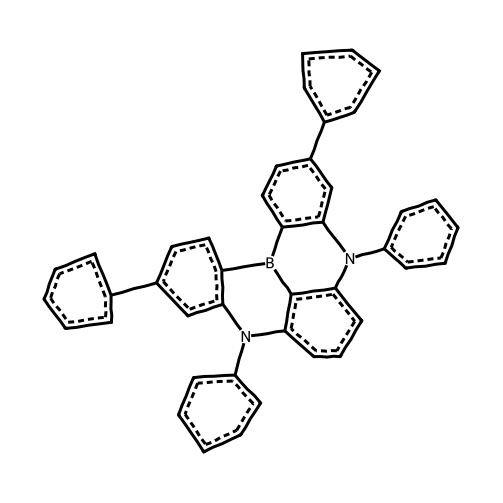 c1ccc(-c2ccc3c(c2)N(c2ccccc2)c2cccc4c2B3c2ccc(-c3ccccc3)cc2N4c2ccccc2)cc1